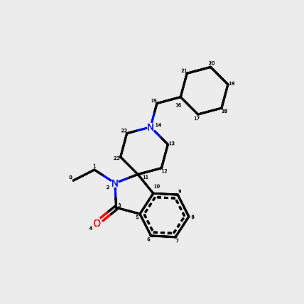 CCN1C(=O)c2ccccc2C12CCN(CC1CCCCC1)CC2